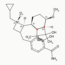 CO[C@]12CC[C@]3(C[C@@H]1C(C)(O)C(C)(C)C)C(C2)c1c(ccc(C(N)=O)c1O)CC1C[N@+](C)(CC2CC2)[C@H]13